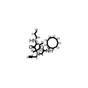 C#CCN(CC(=O)NC1CCCCCCCC1)C(C)(CCC)C(=O)CNCCC